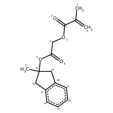 C=C(C)C(=O)OCC(=O)OC1(C)Cc2ccccc2C1